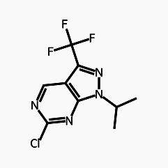 CC(C)n1nc(C(F)(F)F)c2cnc(Cl)nc21